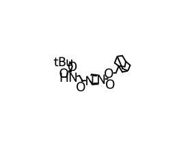 CC(C)(C)OC(=O)NCC(=O)N1C=CN(C(=O)OCC23CC4CC(CC(C4)C2)C3)C=C1